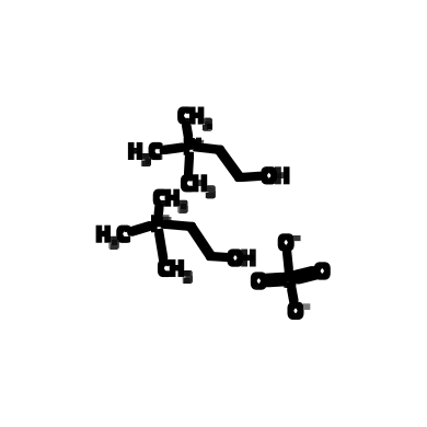 C[P+](C)(C)CCO.C[P+](C)(C)CCO.O=S(=O)([O-])[O-]